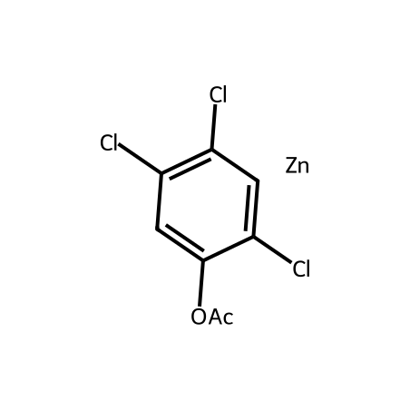 CC(=O)Oc1cc(Cl)c(Cl)cc1Cl.[Zn]